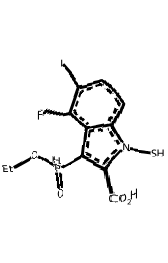 CCO[PH](=O)c1c(C(=O)O)n(S)c2ccc(I)c(F)c12